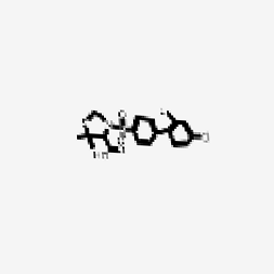 CC1(C)SCCN(S(=O)(=O)c2ccc(-c3ccc(Cl)cc3Cl)cc2)C1C(=O)O